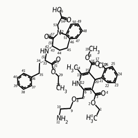 CCOC(=O)C1=C(COCCN)NC(C)=C(C(=O)OC)C1c1ccccc1Cl.CCOC(=O)[C@H](CCc1ccccc1)N[C@H]1CCc2ccccc2N(CC(=O)O)C1=O